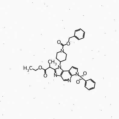 CCOC(=O)C(C)c1nc2cnc3c(ccn3S(=O)(=O)c3ccccc3)c2n1C1CCN(C(=O)OCc2ccccc2)CC1